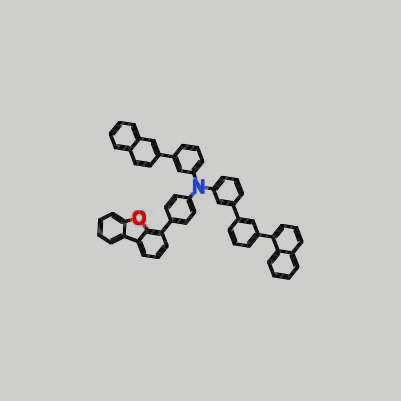 c1cc(-c2cccc(N(c3ccc(-c4cccc5c4oc4ccccc45)cc3)c3cccc(-c4ccc5ccccc5c4)c3)c2)cc(-c2cccc3ccccc23)c1